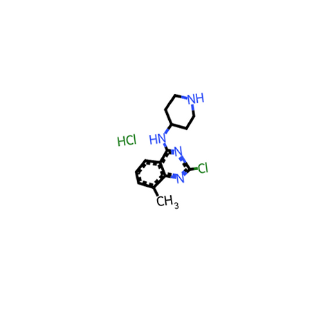 Cc1cccc2c(NC3CCNCC3)nc(Cl)nc12.Cl